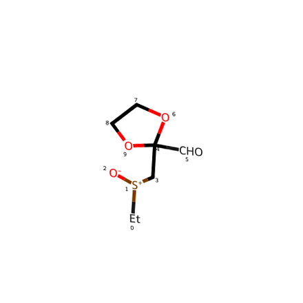 CC[S+]([O-])CC1(C=O)OCCO1